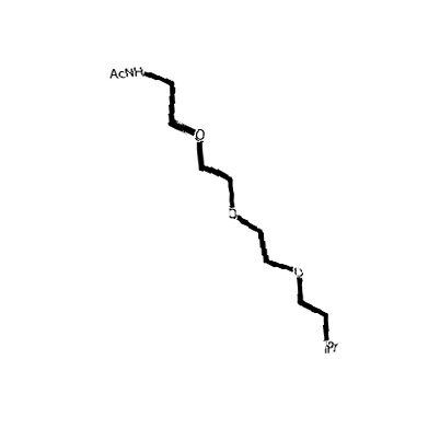 CC(=O)NCCOCCOCCOCCC(C)C